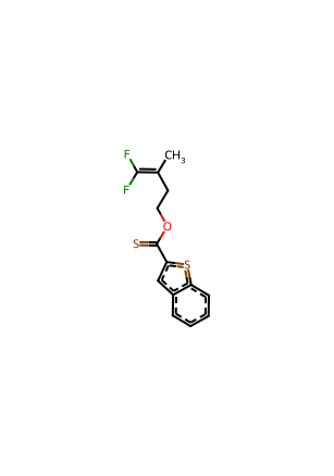 CC(CCOC(=S)c1cc2ccccc2s1)=C(F)F